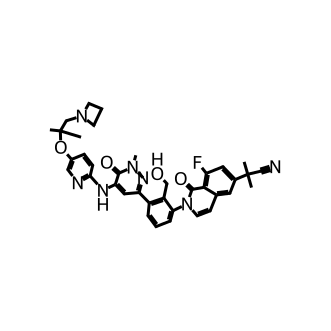 Cn1nc(-c2cccc(-n3ccc4cc(C(C)(C)C#N)cc(F)c4c3=O)c2CO)cc(Nc2ccc(OC(C)(C)CN3CCC3)cn2)c1=O